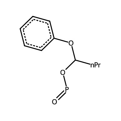 CCCC(OP=O)Oc1ccccc1